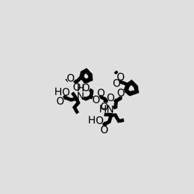 CCCC(C)(CC(=O)O)NCC(COc1ccccc1C(=O)OC)OC(=O)C(=O)OC(CNC(C)(CCC)CC(=O)O)COc1ccccc1C(=O)OC